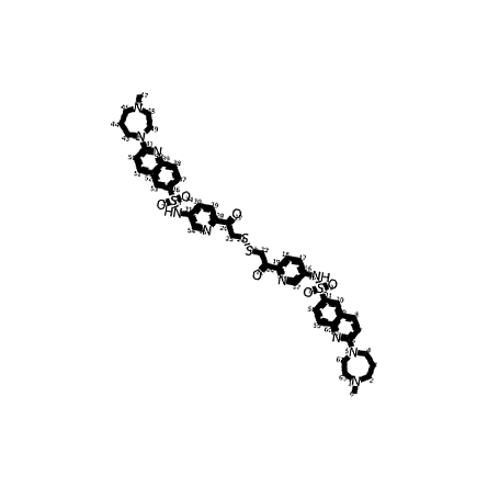 CN1CCCN(c2ccc3cc(S(=O)(=O)Nc4ccc(C(=O)CSSCC(=O)c5ccc(NS(=O)(=O)c6ccc7nc(N8CCCN(C)CC8)ccc7c6)cn5)nc4)ccc3n2)CC1